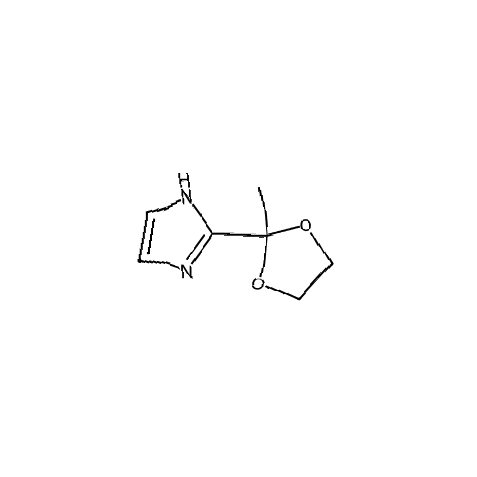 CC1(c2ncc[nH]2)OCCO1